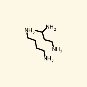 CC(N)CCN.NCCCCN